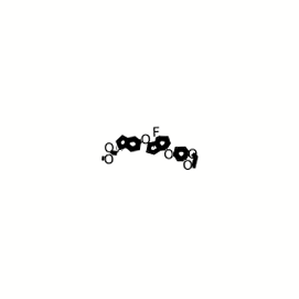 COC(=O)C[C@@H]1CCc2cc(O[C@@H]3CCc4c(Oc5ccc6c(c5)OCCO6)ccc(F)c43)ccc21